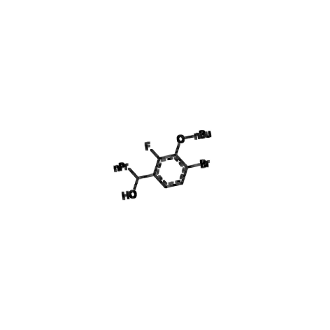 CCCCOc1c(Br)ccc(C(O)CCC)c1F